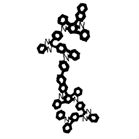 c1ccc(-n2c3ccccc3c3cc(-c4nc5ccccc5nc4-c4ccc(-n5c6ccccc6c6c7c8cc9cc(-c%10ccc(-n%11c%12ccccc%12c%12ccc(-c%13nc%14ccccc%14nc%13-c%13ccc(-n%14c%15ccccc%15c%15c%16c%17cc%18ccccc%18cc%17n%17c%18ccccc%18c(cc%15%14)c%16%17)cc%13)cc%12%11)cc%10)ccc9cc8n8c9ccccc9c(cc65)c78)cc4)ccc32)cc1